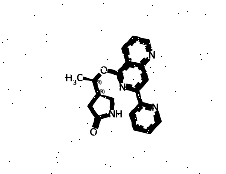 C[C@@H](Oc1nc(-c2ccccn2)cc2ncccc12)[C@H]1CNC(=O)C1